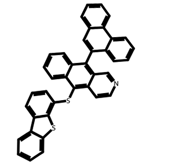 c1ccc2c(c1)cc(-c1c3ccccc3c(Sc3cccc4c3sc3ccccc34)c3ccncc13)c1ccccc12